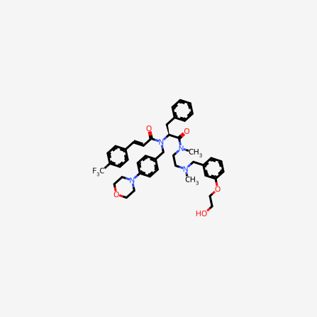 CN(CCN(C)C(=O)[C@H](Cc1ccccc1)N(Cc1ccc(N2CCOCC2)cc1)C(=O)C=Cc1ccc(C(F)(F)F)cc1)Cc1cccc(OCCO)c1